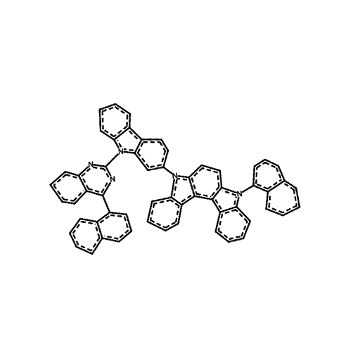 c1ccc2c(-c3nc(-n4c5ccccc5c5ccc(-n6c7ccccc7c7c8c9ccccc9n(-c9cccc%10ccccc9%10)c8ccc76)cc54)nc4ccccc34)cccc2c1